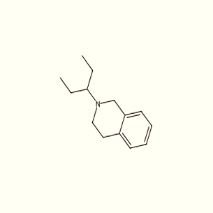 CCC(CC)N1CCc2ccccc2C1